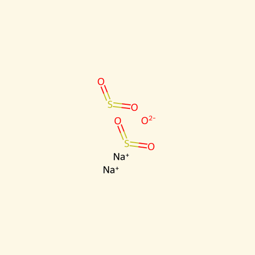 O=S=O.O=S=O.[Na+].[Na+].[O-2]